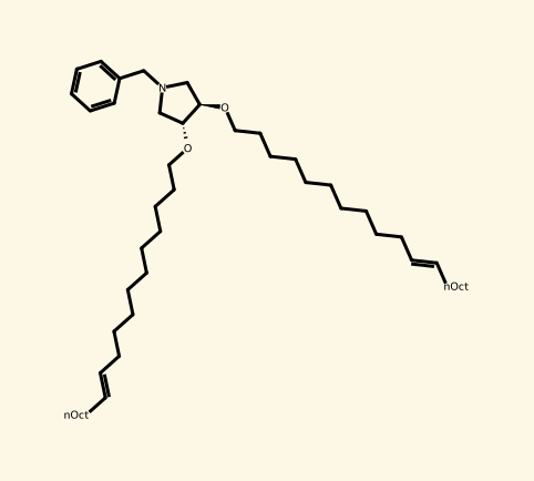 CCCCCCCCC=CCCCCCCCCCCO[C@@H]1CN(Cc2ccccc2)C[C@H]1OCCCCCCCCCCC=CCCCCCCCC